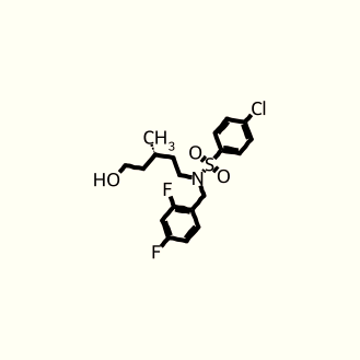 C[C@@H](CCO)CCN(Cc1ccc(F)cc1F)S(=O)(=O)c1ccc(Cl)cc1